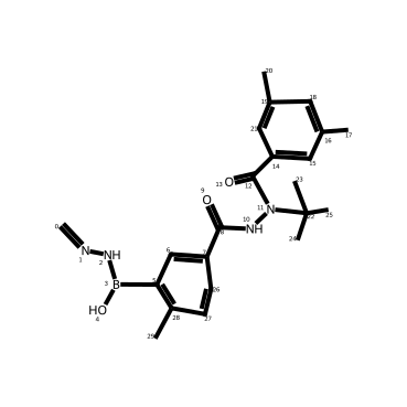 C=NNB(O)c1cc(C(=O)NN(C(=O)c2cc(C)cc(C)c2)C(C)(C)C)ccc1C